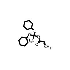 C=CC(=O)OC(C)(OC1CCCCC1)OC1CCCCC1